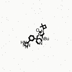 CCCCc1cn(C2CCC2(C)C)c(=O)n1CC1(c2cccc(-c3nnn[nH]3)c2)C=CN=CC1